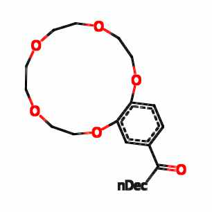 CCCCCCCCCCC(=O)c1ccc2c(c1)OCCOCCOCCOCCO2